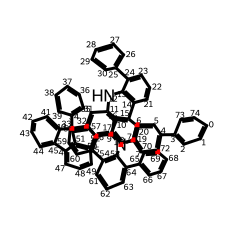 c1ccc(-c2ccc(N(c3cc(Nc4c(-c5ccccc5)cccc4-c4ccccc4)cc(C4(c5ccccc5)c5ccccc5-c5ccccc54)c3)c3c(-c4ccccc4)cccc3-c3ccccc3)cc2)cc1